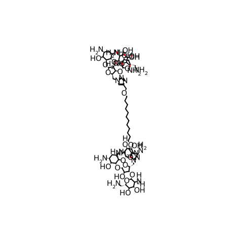 [2H]NC1C(O)C(O)[C@H](CN)O[C@@H]1O[C@@H]1C(O)[C@H](O[C@H]2C(O[C@H]3OC(CN)C(O)[C@H](O)C3N)C(N)C[C@@H](N)C2O)O[C@@H]1Cn1cc(COCCCCCCCCCCCCOCc2cn(C[C@H]3O[C@@H](O[C@H]4C(O[C@H]5OC(CN)C(O)[C@H](O)C5N)C(N)C[C@@H](N)C4O)C(O)[C@H]3O[C@H]3O[C@@H](CN)C(O)C(O)C3N)nn2)nn1